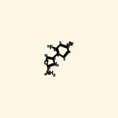 Nc1nc(-c2ccc(Br)cc2F)co1